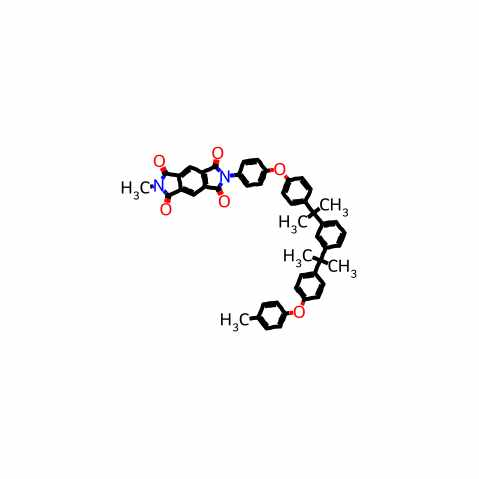 Cc1ccc(Oc2ccc(C(C)(C)c3cccc(C(C)(C)c4ccc(Oc5ccc(-n6c(=O)c7cc8c(=O)n(C)c(=O)c8cc7c6=O)cc5)cc4)c3)cc2)cc1